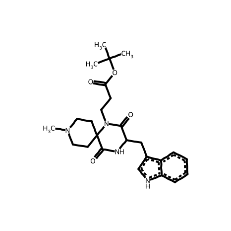 CN1CCC2(CC1)C(=O)NC(Cc1c[nH]c3ccccc13)C(=O)N2CCC(=O)OC(C)(C)C